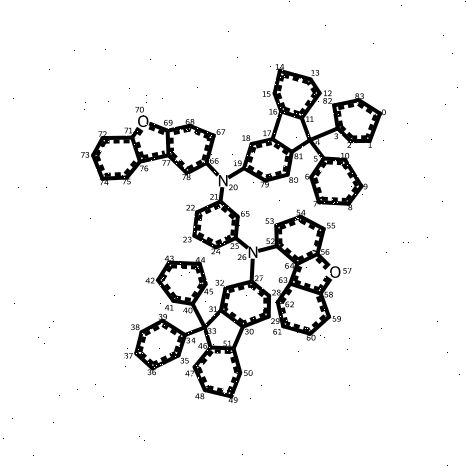 c1ccc(C2(c3ccccc3)c3ccccc3-c3cc(N(c4cccc(N(c5ccc6c(c5)C(c5ccccc5)(c5ccccc5)c5ccccc5-6)c5cccc6oc7ccccc7c56)c4)c4ccc5oc6ccccc6c5c4)ccc32)cc1